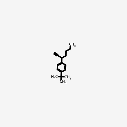 [C]#CC(CCCC)c1ccc(C(C)(C)C)cc1